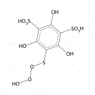 O=S(=O)(O)c1c(O)c(SOOO)c(O)c(S(=O)(=O)O)c1O